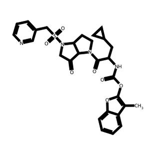 Cc1c(OC(=O)NC(CC2CC2)C(=O)N2CCC3C2C(=O)CN3S(=O)(=O)Cc2cccnc2)oc2ccccc12